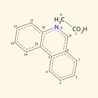 CC(=O)O.c1ccc2c(c1)cnc1ccccc12